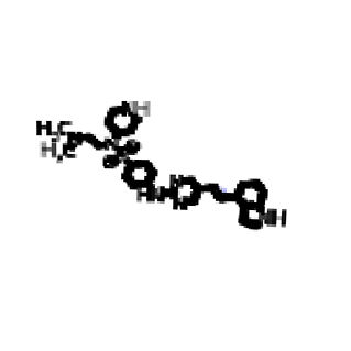 CN(C)CCN(C1CCNCC1)S(=O)(=O)c1ccc(Nc2ncc(/C=C/c3cccc4[nH]ccc34)cn2)cc1